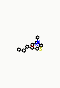 C1=CC(c2cccc(-c3ccc(-c4ccc5sc6cccc(-c7nc(-c8ccccc8)cc(-c8ccccc8)n7)c6c5c4)cc3)c2)CC(c2ccccc2)=C1